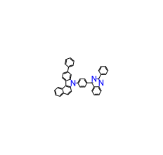 c1ccc(-c2ccc3c4c5ccccc5ccc4n(-c4ccc(-c5nc(-c6ccccc6)nc6ccccc56)cc4)c3c2)cc1